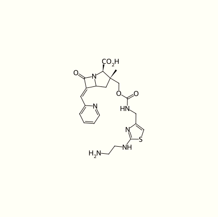 C[C@@]1(COC(=O)NCc2csc(NCCN)n2)CC2/C(=C\c3ccccn3)C(=O)N2[C@H]1C(=O)O